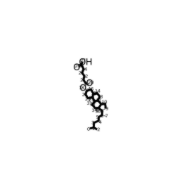 CC(C)CCC[C@@H](C)[C@H]1CCC2C3CC=C4CC(OC(=O)CCCCC(=O)O)CC[C@]4(C)C3CC[C@@]21C